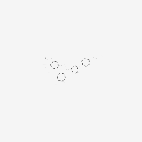 N#CCSc1ccc(-c2csc(N(Cc3ccc(C(F)(F)P(=O)(O)O)c(Br)c3)c3ccc(Cl)c(Cl)c3)n2)cc1